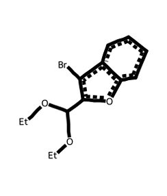 CCOC(OCC)c1oc2ccccc2c1Br